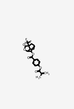 C=C(C)C(=O)Oc1ccc(C(=O)OC2C3CC4C2OC(=O)C4(C(F)(F)F)C3)cc1